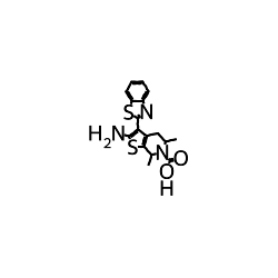 CC1Cc2c(sc(N)c2-c2nc3ccccc3s2)C(C)N1C(=O)O